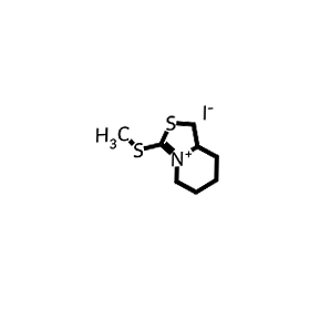 CSC1=[N+]2CCCCC2CS1.[I-]